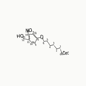 CCCCCCCCCCCCCCCCOc1ccc(CO)c([N+](=O)[O-])c1